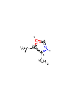 Cc1n[c]oc1C